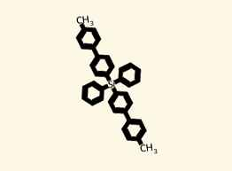 Cc1ccc(-c2ccc([Si](c3ccccc3)(c3ccccc3)c3ccc(-c4ccc(C)cc4)cc3)cc2)cc1